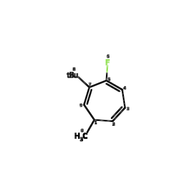 CC1C=CC=C(F)C(C(C)(C)C)=C1